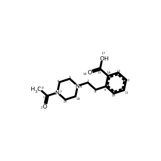 CC(=O)N1CCN(CCc2ccccc2C(=O)O)CC1